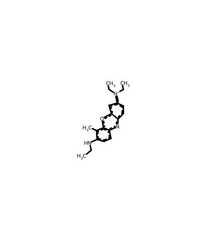 CCNc1ccc2nc3ccc(=[N+](CC)CC)cc-3oc2c1C